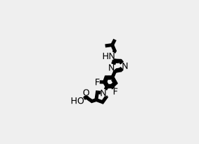 CC(C)CNc1cncc(-c2cc(F)c(N3CCC(CC(=O)O)C3)c(F)c2)n1